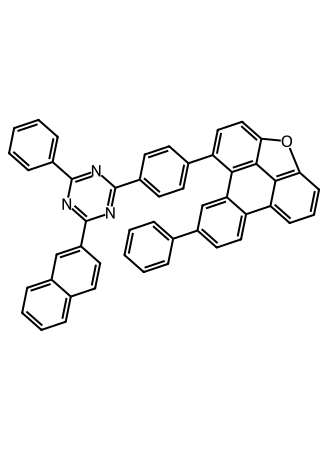 c1ccc(-c2ccc3c(c2)c2c(-c4ccc(-c5nc(-c6ccccc6)nc(-c6ccc7ccccc7c6)n5)cc4)ccc4oc5cccc3c5c42)cc1